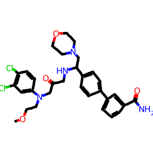 COCCN(CC(=O)CNC(CN1CCOCC1)c1ccc(-c2cccc(C(N)=O)c2)cc1)c1ccc(Cl)c(Cl)c1